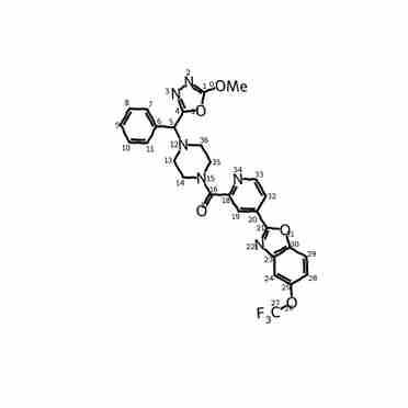 COc1nnc(C(c2ccccc2)N2CCN(C(=O)c3cc(-c4nc5cc(OC(F)(F)F)ccc5o4)ccn3)CC2)o1